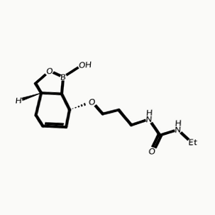 CCNC(=O)NCCCO[C@@H]1C=CC[C@@H]2COB(O)C21